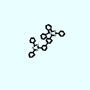 c1ccc(-c2nc(-c3ccccc3)nc(-c3cccc(-c4ccc(-c5nc(-c6ccccc6)nc6c7ccccc7c(-c7ccccc7)n56)cc4)c3)n2)cc1